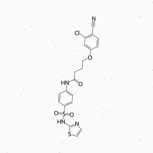 N#Cc1ccc(OCCCC(=O)Nc2ccc(S(=O)(=O)Nc3nccs3)cc2)cc1Cl